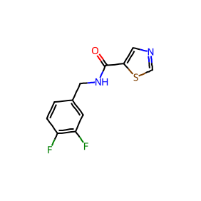 O=C(NCc1ccc(F)c(F)c1)c1cncs1